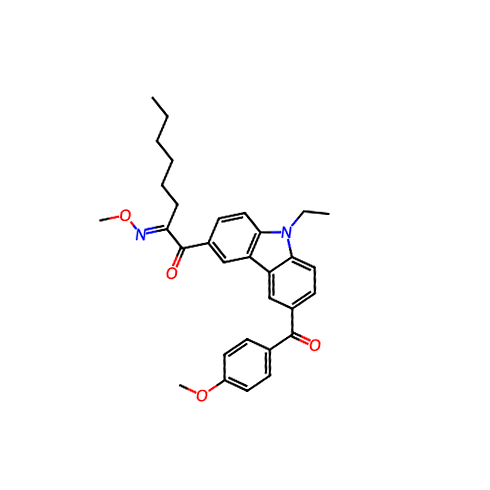 CCCCCC/C(=N\OC)C(=O)c1ccc2c(c1)c1cc(C(=O)c3ccc(OC)cc3)ccc1n2CC